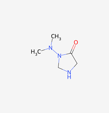 CN(C)N1CNCC1=O